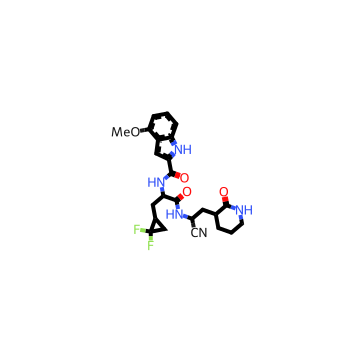 COc1cccc2[nH]c(C(=O)NC(CC3CC3(F)F)C(=O)NC(C#N)CC3CCCNC3=O)cc12